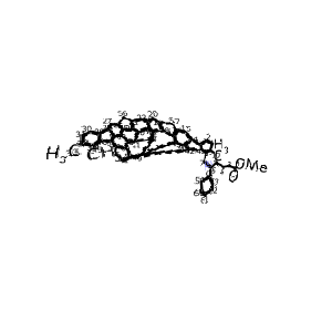 COC(=O)CCC/C(=C\c1c(C)ccc2c3cc4c5c6c(cc7cc8c9c%10c(cc%11c%12ccc(C)c(C)c%12c%12c%13c%14c%15c(c(c12)c3c5c%15c1c6c7c9c1c%14c%10c%11%12)C%13)C8)C4)c1ccccc1